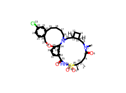 C[C@@H]1[C@@H](C)CC(=O)N(C)C[C@@H]2CC[C@H]2CN2CCCCc3cc(Cl)ccc3COc3ccc(cc32)C(=O)NS1(=O)=O